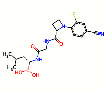 CC(C)C[C@H](NC(=O)CNC(=O)[C@@H]1CCN1c1ccc(C#N)cc1F)B(O)O